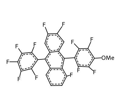 COc1c(F)c(F)c(-c2c3cc(F)c(F)cc3c(-c3c(F)c(F)c(F)c(F)c3F)c3cccc(F)c23)c(F)c1F